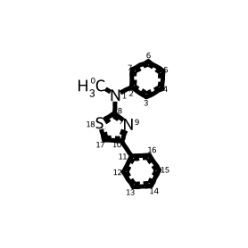 CN(c1ccccc1)c1nc(-c2ccccc2)cs1